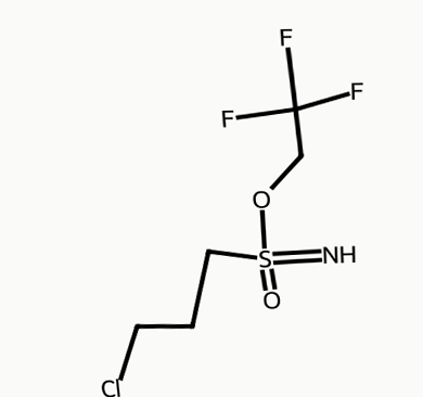 N=S(=O)(CCCCl)OCC(F)(F)F